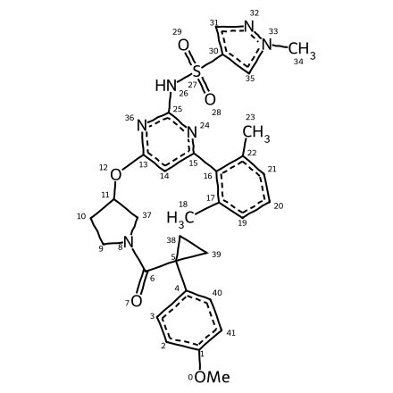 COc1ccc(C2(C(=O)N3CCC(Oc4cc(-c5c(C)cccc5C)nc(NS(=O)(=O)c5cnn(C)c5)n4)C3)CC2)cc1